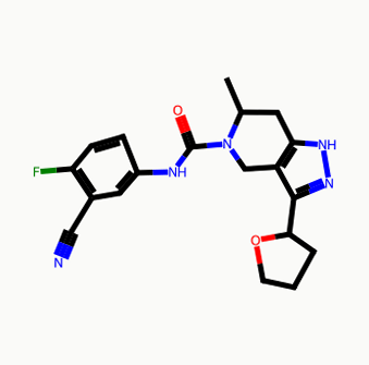 CC1Cc2[nH]nc(C3CCCO3)c2CN1C(=O)Nc1ccc(F)c(C#N)c1